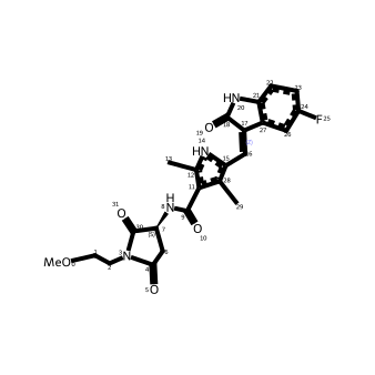 COCCN1C(=O)C[C@H](NC(=O)c2c(C)[nH]c(/C=C3\C(=O)Nc4ccc(F)cc43)c2C)C1=O